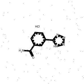 Cl.NC(=O)c1cccc(-c2nnn[nH]2)c1